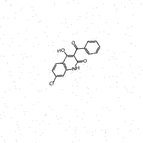 O=C(c1ccccc1)c1c(O)c2ccc(Cl)cc2[nH]c1=O